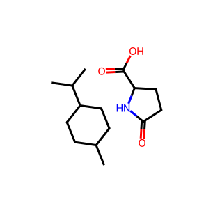 CC1CCC(C(C)C)CC1.O=C1CCC(C(=O)O)N1